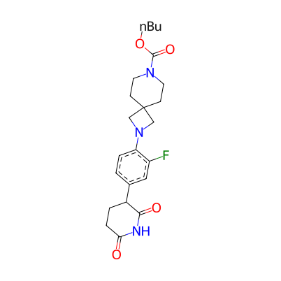 CCCCOC(=O)N1CCC2(CC1)CN(c1ccc(C3CCC(=O)NC3=O)cc1F)C2